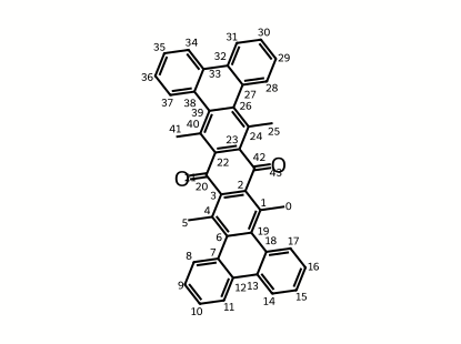 Cc1c2c(c(C)c3c4ccccc4c4ccccc4c13)C(=O)c1c(c(C)c3c4ccccc4c4ccccc4c3c1C)C2=O